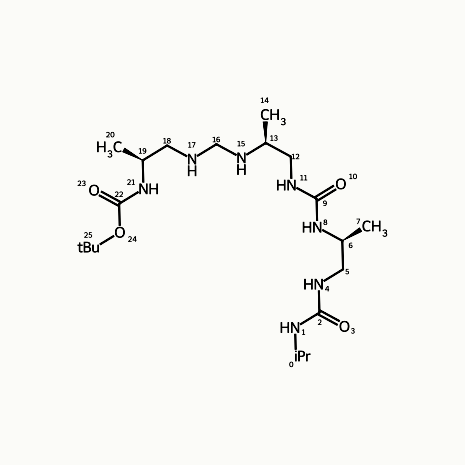 CC(C)NC(=O)NC[C@H](C)NC(=O)NC[C@H](C)NCNC[C@H](C)NC(=O)OC(C)(C)C